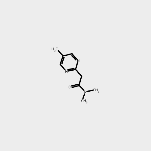 Cc1cnc(CC(=O)N(C)C)nc1